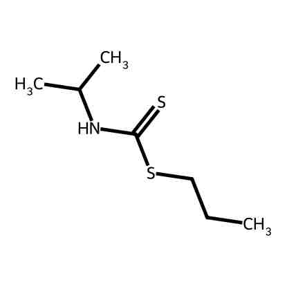 CCCSC(=S)NC(C)C